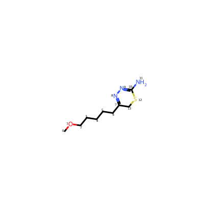 COCCCCCC1=NN=C(N)SC1